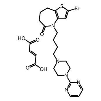 O=C(O)C=CC(=O)O.O=C1CCCc2sc(Br)cc2N1CCCCN1CCN(c2ncccn2)CC1